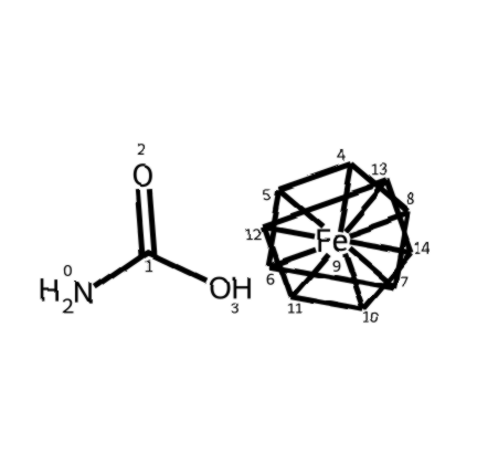 NC(=O)O.[CH]12[CH]3[CH]4[CH]5[CH]1[Fe]23451678[CH]2[CH]1[CH]6[CH]7[CH]28